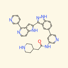 O=C(CC1CCNCC1)Nc1cncc(-c2ccc3[nH]nc(-c4cc5c(-c6cccnc6)nccc5[nH]4)c3c2)c1